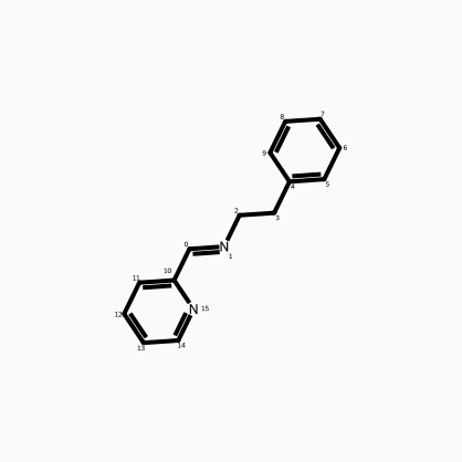 C(=NCCc1ccccc1)c1ccccn1